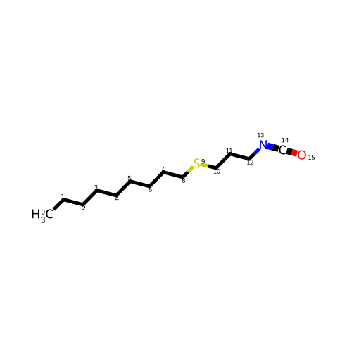 CCCCCCCCCSCCCN=C=O